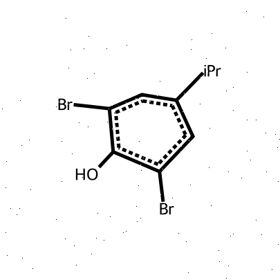 CC(C)c1cc(Br)c(O)c(Br)c1